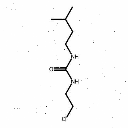 CC(C)CCNC(=O)NCCCl